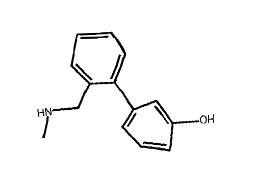 CNCc1ccccc1-c1cccc(O)c1